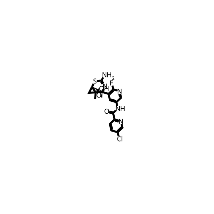 CC12C[C@]1(C(=O)O)SC(N)=N[C@]2(C)c1cc(NC(=O)c2ccc(Cl)cn2)cnc1F